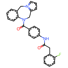 O=C(Cc1ccccc1F)Nc1ccc(C(=O)N2Cc3cccn3Cc3ccccc32)cc1